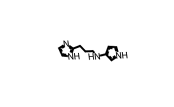 c1c[nH]c(CCCNc2cc[nH]c2)n1